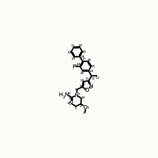 COC1CN=C(N)N(Cc2cc(C(C)c3ccc(-c4ccccc4)c(F)c3)no2)C1